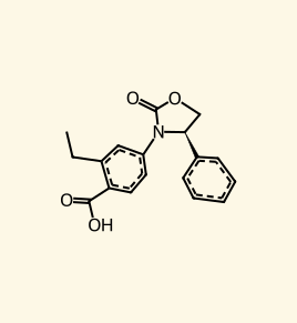 CCc1cc(N2C(=O)OC[C@H]2c2ccccc2)ccc1C(=O)O